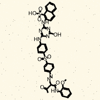 COc1ccccc1NC(=O)C(/N=N/c1ccc(S(=O)(=O)c2ccc(Nc3nc(O)nc(Nc4ccc5ccccc5c4S(=O)(=O)O)n3)cc2)cc1)C(C)=O